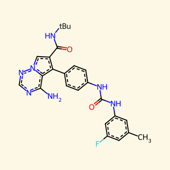 Cc1cc(F)cc(NC(=O)Nc2ccc(-c3c(C(=O)NC(C)(C)C)cn4ncnc(N)c34)cc2)c1